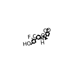 O=C(Nc1ccc(C(F)(F)F)c(-c2ccc(CO)cc2)c1)C1(c2ccc3c(c2)OCO3)CC1